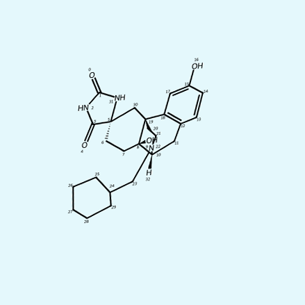 O=C1NC(=O)[C@@]2(CC[C@@]3(O)[C@H]4Cc5ccc(O)cc5[C@@]3(CCN4CC3CCCCC3)C2)N1